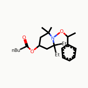 CCCCC(=O)OC1CC(C)(C)N(OC(C)c2ccccc2)C(CC)(CC)C1